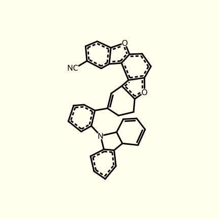 N#Cc1ccc2oc3ccc4oc5c(c4c3c2c1)C=C(c1ccccc1N1c2ccccc2C2C=CC=CC21)CC5